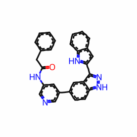 O=C(Cc1ccccc1)Nc1cncc(-c2ccc3[nH]nc(-c4cc5ccccc5[nH]4)c3c2)c1